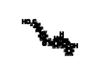 O=C(O)C1CC2(C1)CC(N1CCN(C(=O)CCN3CCN4c5cc(-c6ccccc6O)nnc5NC[C@H]4C3)CC1)C2